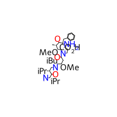 CC[C@H](C)[C@@H]([C@@H](CC(=O)N1CCC[C@H]1[C@H](OC)[C@@H](C)C(=O)[C@@](N)(Cc1ccccc1)C(=O)O)OC)N(C)C[C@@H](C(=O)[C@H](C(C)C)N(C)C)C(C)C